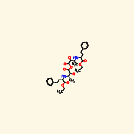 CCOC(=O)[C@H](CCc1ccccc1)N[C@@H](C)C(=O)C(=O)OC(=O)C(=O)[C@H](C)N[C@@H](CCc1ccccc1)C(=O)OCC